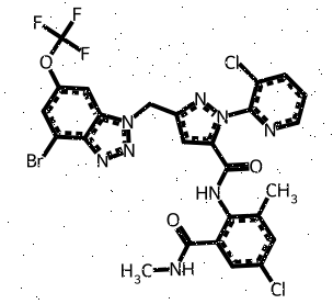 CNC(=O)c1cc(Cl)cc(C)c1NC(=O)c1cc(Cn2nnc3c(Br)cc(OC(F)(F)F)cc32)nn1-c1ncccc1Cl